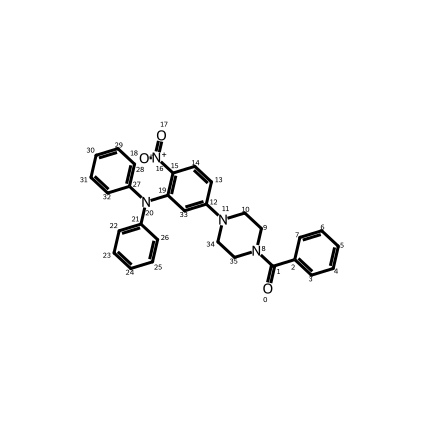 O=C(c1ccccc1)N1CCN(c2ccc([N+](=O)[O-])c(N(c3ccccc3)c3ccccc3)c2)CC1